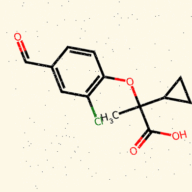 CC(Oc1ccc(C=O)cc1Cl)(C(=O)O)C1CC1